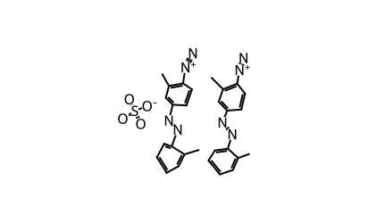 Cc1ccccc1/N=N/c1ccc([N+]#N)c(C)c1.Cc1ccccc1/N=N/c1ccc([N+]#N)c(C)c1.O=S(=O)([O-])[O-]